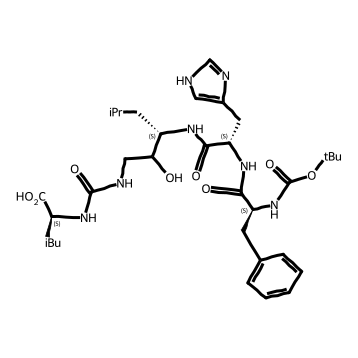 CCC(C)[C@H](NC(=O)NCC(O)[C@H](CC(C)C)NC(=O)[C@H](Cc1c[nH]cn1)NC(=O)[C@H](Cc1ccccc1)NC(=O)OC(C)(C)C)C(=O)O